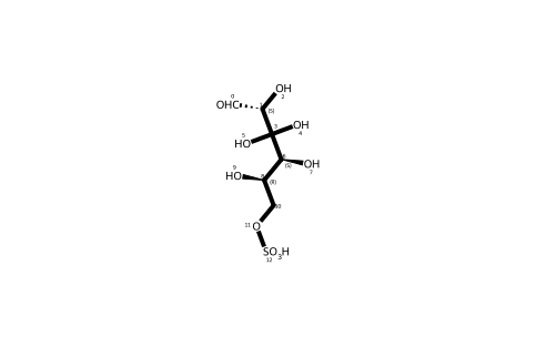 O=C[C@H](O)C(O)(O)[C@@H](O)[C@H](O)COS(=O)(=O)O